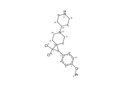 CC(C)Oc1ccc(C2C(Cl)(Cl)C23CCN(C2CCNCC2)CC3)cc1